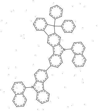 c1ccc(C2(c3ccccc3)c3ccccc3-c3cc4c5cc(-c6ccc7c(c6)c6ccccc6n7-c6cccc7ccccc67)ccc5n(-c5cccc6ccccc56)c4cc32)cc1